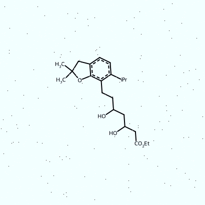 CCOC(=O)CC(O)CC(O)CCc1c(C(C)C)ccc2c1OC(C)(C)C2